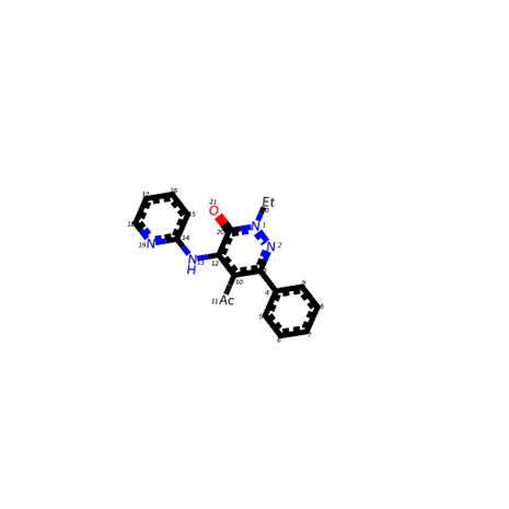 CCn1nc(-c2ccccc2)c(C(C)=O)c(Nc2ccccn2)c1=O